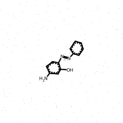 Nc1ccc(/N=N/c2ccccc2)c(O)c1